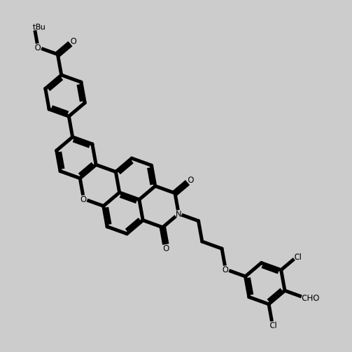 CC(C)(C)OC(=O)c1ccc(-c2ccc3oc4ccc5c(=O)n(CCCOc6cc(Cl)c(C=O)c(Cl)c6)c(=O)c6ccc(c3c2)c4c56)cc1